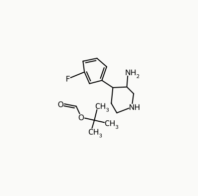 CC(C)(C)OC=O.NC1CNCCC1c1cccc(F)c1